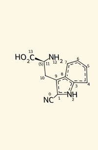 N#Cc1[nH]c2ccccc2c1C[C@H](N)C(=O)O